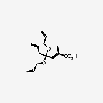 C=CCOC(C=C(C)C(=O)O)(CC=C)OCC=C